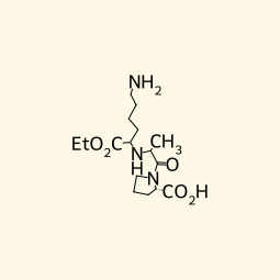 CCOC(=O)C(CCCCN)NC(C)C(=O)N1CCC[C@H]1C(=O)O